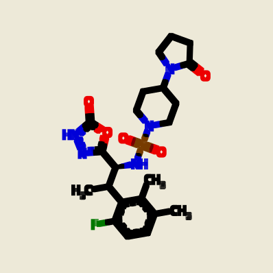 Cc1ccc(F)c(C(C)[C@H](NS(=O)(=O)N2CCC(N3CCCC3=O)CC2)c2n[nH]c(=O)o2)c1C